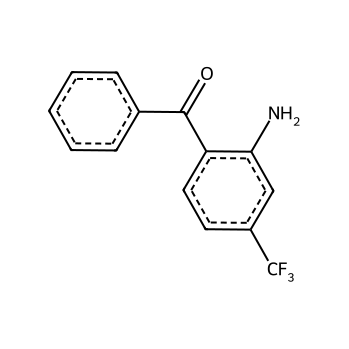 Nc1cc(C(F)(F)F)ccc1C(=O)c1ccccc1